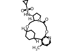 Cc1ccnc2c1[C@H]1CC[C@H](CC1)OC[C@H]1[C@@H](NS(=O)(=O)C3CC3)CCN1C(=O)CO2